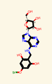 OC[C@H]1O[C@@H](n2cnc3c(NCc4c(O)cc(OBr)cc4O)ncnc32)[C@H](O)[C@@H]1O